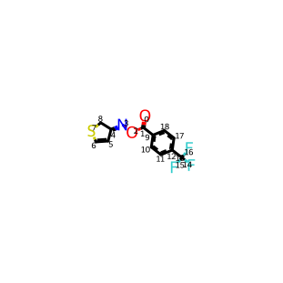 O=C(ON=C1C=CSC1)c1ccc(C(F)(F)F)cc1